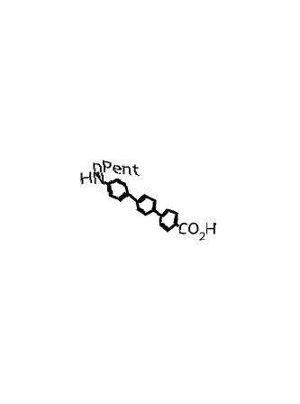 CCCCCNc1ccc(-c2ccc(-c3ccc(C(=O)O)cc3)cc2)cc1